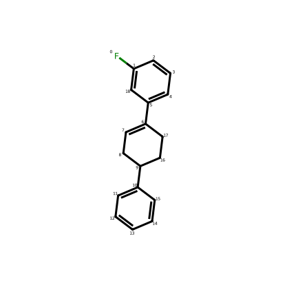 Fc1cccc(C2=CCC(c3ccccc3)CC2)c1